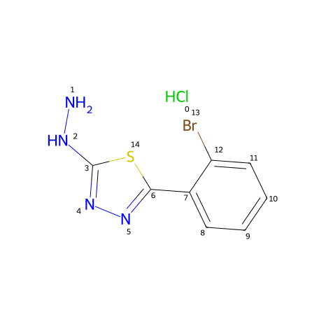 Cl.NNc1nnc(-c2ccccc2Br)s1